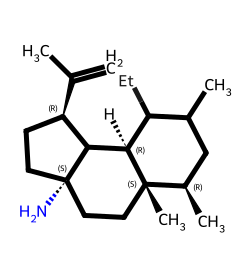 C=C(C)[C@@H]1CC[C@]2(N)CC[C@]3(C)[C@H](C(CC)C(C)C[C@H]3C)C12